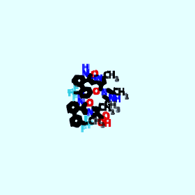 Cc1cc(C(=O)N2CC(C)NC(C)C2)c(C=C2C(=O)Nc3cccc(-c4ccccc4C(F)(F)F)c32)[nH]1.Cc1cn(C=C2C(=O)Nc3cccc(-c4cccc(C(F)(F)F)c4)c32)c(C)c1C(=O)O